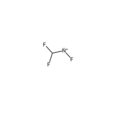 F[N+]C(F)F